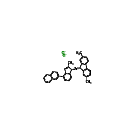 CC1=Cc2c(-c3ccc4ccccc4c3)cccc2[CH]1[Zr+2][CH]1c2cc(C)ccc2-c2ccc(C)cc21.[Cl-].[Cl-]